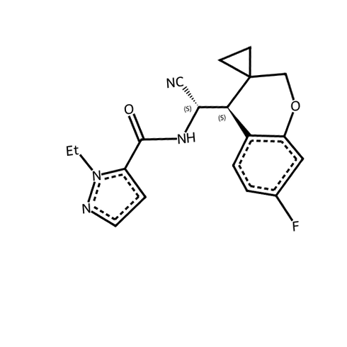 CCn1nccc1C(=O)N[C@H](C#N)[C@@H]1c2ccc(F)cc2OCC12CC2